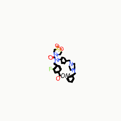 COC(=O)c1ccc(CN(C(=O)N2CCS(=O)(=O)CC2)c2ccc(CN3CCN(Cc4ccccc4)CC3)cc2)c(F)c1